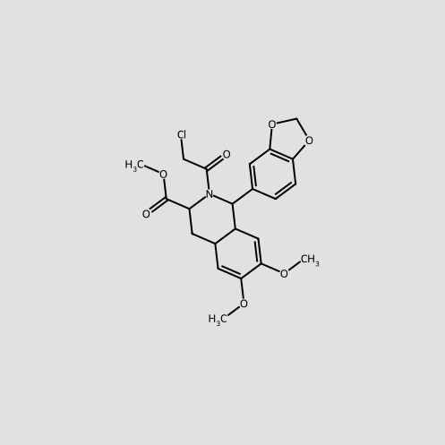 COC(=O)C1CC2C=C(OC)C(OC)=CC2C(c2ccc3c(c2)OCO3)N1C(=O)CCl